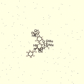 COC(OC)C1(C)Oc2ccc(NS(C)(=O)=O)cc2C(NC(=NCc2ccccc2)NC#N)C1O